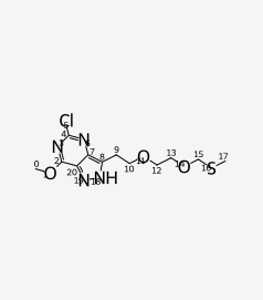 COc1nc(Cl)nc2c(CCOCCOCSC)[nH]nc12